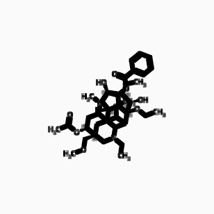 CCO[C@@]12C3C(OC)C4C5(C(OC)C[C@@H](OC(C)=O)[C@@]4(COC)CN(CC)C35)[C@@H]3C[C@@](O)(C(OC(=O)c4ccccc4)C31)[C@@H](OC)[C@@H]2O